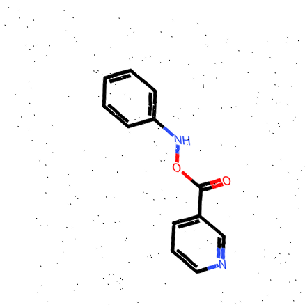 O=C(ONc1ccccc1)c1cccnc1